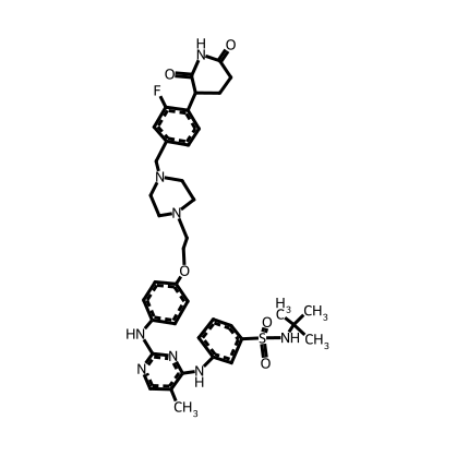 Cc1cnc(Nc2ccc(OCCN3CCN(Cc4ccc(C5CCC(=O)NC5=O)c(F)c4)CC3)cc2)nc1Nc1cccc(S(=O)(=O)NC(C)(C)C)c1